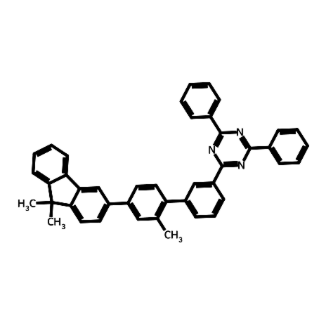 Cc1cc(-c2ccc3c(c2)-c2ccccc2C3(C)C)ccc1-c1cccc(-c2nc(-c3ccccc3)nc(-c3ccccc3)n2)c1